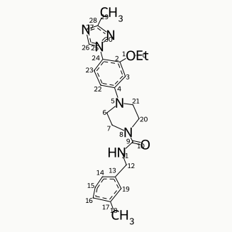 CCOc1cc(N2CCN(C(=O)NCc3cccc(C)c3)CC2)ccc1-n1cnc(C)n1